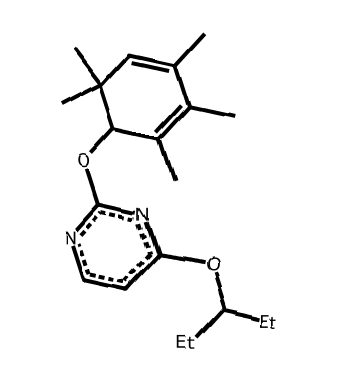 CCC(CC)Oc1ccnc(OC2C(C)=C(C)C(C)=CC2(C)C)n1